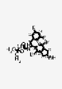 CC(C)(C)OC(=O)NC(Cc1cc(F)cc(F)c1)c1nc(Br)c2c(c1Br)CC(O)C2